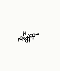 C#C[C@@H]1CC2C[C@](C)(NCC(=O)N3C[C@@H](F)C[C@H]3C#N)C[C@H]2C1